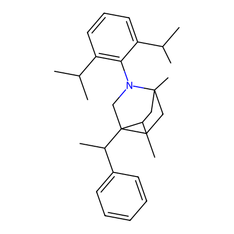 CC(C)c1cccc(C(C)C)c1N1CC2(C(C)c3ccccc3)CCC1(C)CC2C